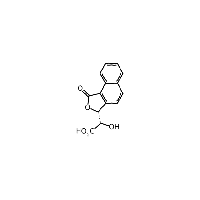 O=C1O[C@@H](C(O)C(=O)O)c2ccc3ccccc3c21